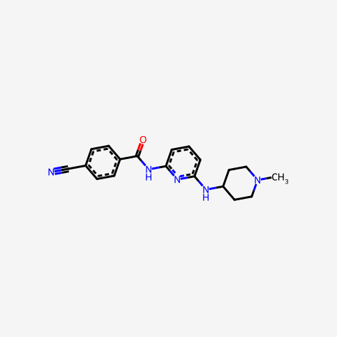 CN1CCC(Nc2cccc(NC(=O)c3ccc(C#N)cc3)n2)CC1